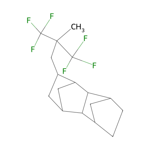 CC(CC1CC2CC1C1C3CCC(C3)C21)(C(F)(F)F)C(F)(F)F